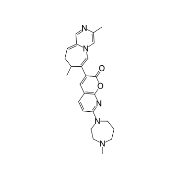 CC1=CN2C=C(c3cc4ccc(N5CCCN(C)CC5)nc4oc3=O)C(C)CC=C2C=N1